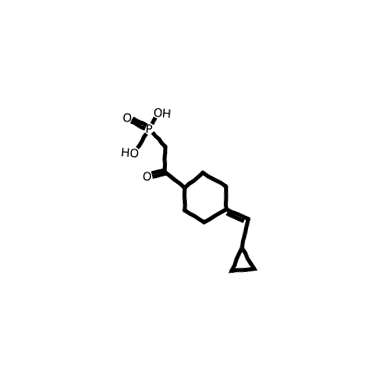 O=C(CP(=O)(O)O)C1CCC(=CC2CC2)CC1